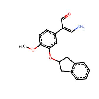 COc1ccc(C(C=O)=CN)cc1OC1Cc2ccccc2C1